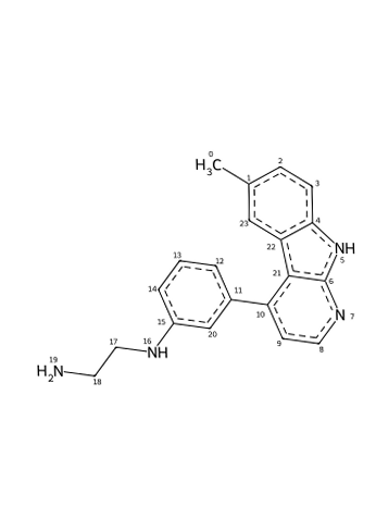 Cc1ccc2[nH]c3nccc(-c4cccc(NCCN)c4)c3c2c1